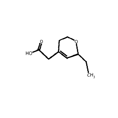 CCC1C=C(CC(=O)O)CCO1